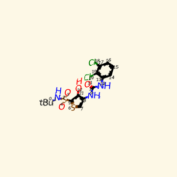 CC(C)(C)NS(=O)(=O)c1scc(NC(=O)Nc2cccc(Cl)c2Cl)c1O